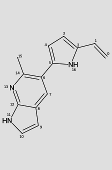 C=Cc1ccc(-c2cc3cc[nH]c3nc2C)[nH]1